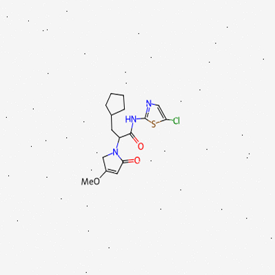 COC1=CC(=O)N(C(CC2CCCC2)C(=O)Nc2ncc(Cl)s2)C1